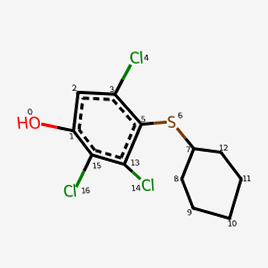 Oc1cc(Cl)c(SC2CCCCC2)c(Cl)c1Cl